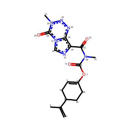 C=C(C)C1CC=C(OC(=O)N(C)C(=O)c2ncn3c(=O)n(C)nnc23)CC1